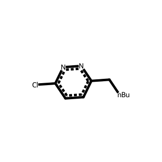 CCCCCc1ccc(Cl)nn1